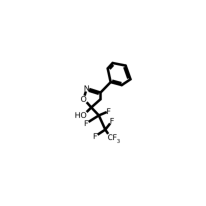 OC1(C(F)(F)C(F)(F)C(F)(F)F)CC(c2ccccc2)=NO1